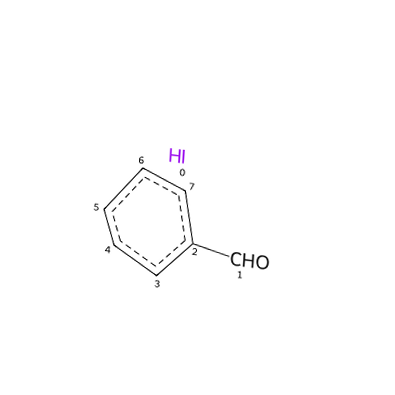 I.O=Cc1ccccc1